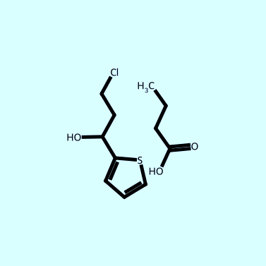 CCCC(=O)O.OC(CCCl)c1cccs1